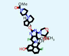 C#Cc1c(F)ccc2cc(O)cc(-c3nc(OC)c4c(N5CCOC[C@@](C)(O)C5)nc(OC[C@]56CCC[C@H]5N(C5CCN(C(=O)OC)CC5)CCC6)nc4c3F)c12